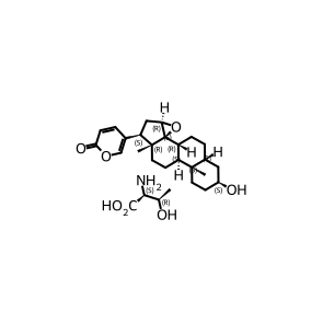 C[C@@H](O)[C@H](N)C(=O)O.C[C@]12CC[C@H](O)C[C@H]1CC[C@@H]1[C@@H]2CC[C@]2(C)[C@@H](c3ccc(=O)oc3)C[C@H]3O[C@]132